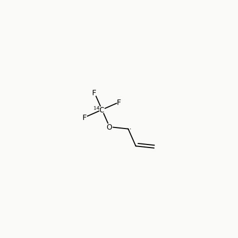 C=C[CH]O[14C](F)(F)F